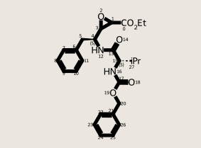 CCOC(=O)C1OC1[C@H](Cc1ccccc1)NC(=O)[C@@H](NC(=O)OCc1ccccc1)C(C)C